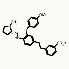 BN1CCC[C@H]1CNc1ccc(CCc2cccc(C(=O)O)c2)cc1Oc1ccc(OC)cc1